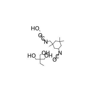 CC1(C)CC(N=C=O)CC(C)(CN=C=O)C1.CCC(CO)(CO)CO.CO